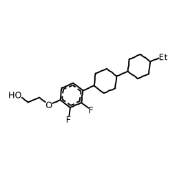 CCC1CCC(C2CCC(c3ccc(OCCO)c(F)c3F)CC2)CC1